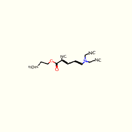 [C-]#[N+]CN(/C=C/C=C(\[N+]#[C-])C(=O)OCCCCCCCCCCCC)C[N+]#[C-]